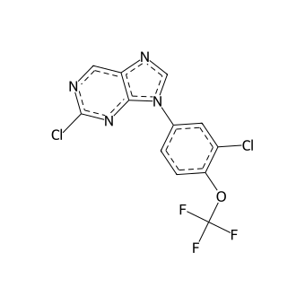 FC(F)(F)Oc1ccc(-n2cnc3cnc(Cl)nc32)cc1Cl